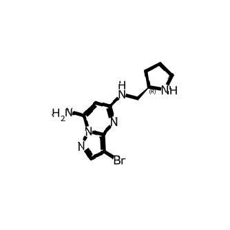 Nc1cc(NC[C@H]2CCCN2)nc2c(Br)cnn12